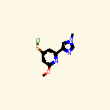 COc1cc(SCl)cc(-c2cn(C)cn2)n1